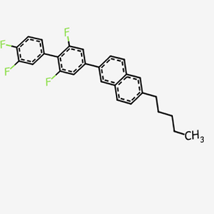 CCCCCc1ccc2cc(-c3cc(F)c(-c4ccc(F)c(F)c4)c(F)c3)ccc2c1